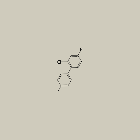 Cc1ccc(-c2ccc(F)cc2Cl)cc1